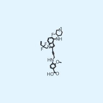 C=CC(F)(F)Cn1c(C#CCNc2ccc(C(=O)O)cc2OC)cc2c(N[C@@H]3CCN(C)C[C@@H]3F)cccc21